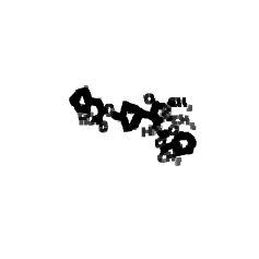 CC(OC(=O)Nc1c(-c2ccc(COC(Cc3ccccc3)C(=O)O)cc2)c(=O)n(C)n1C)c1ccccc1